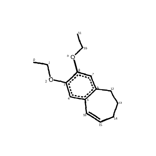 CCOc1cc2c(cc1OCC)CCC[C]=C2